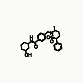 C[C@H]1CCC(c2ccccc2)S(=O)(=O)N1Cc1ccc(C(=O)NC2CCCC(O)C2)cc1